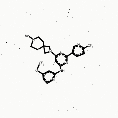 CC(=O)N1CCC2(CC1)CN(c1cc(Nc3cc(OC(F)(F)F)ccn3)nc(-c3ccc(C(F)(F)F)nc3)n1)C2